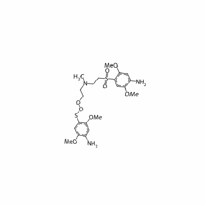 COc1cc(SOOCCN(C)CCS(=O)(=O)c2cc(OC)c(N)cc2OC)c(OC)cc1N